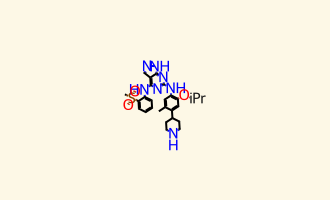 Cc1cc(Nc2nc(Nc3ccccc3S(C)(=O)=O)c3cn[nH]c3n2)c(OC(C)C)cc1C1CCNCC1